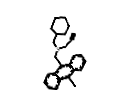 C#CCN(Cc1c2ccccc2c(C)c2ccccc12)CC1CCCCC1